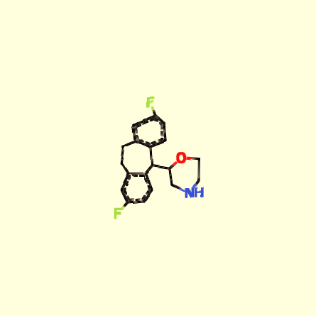 Fc1ccc2c(c1)CCc1cc(F)ccc1C2C1CNCCO1